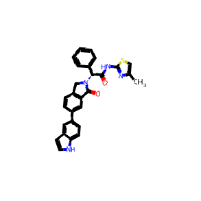 Cc1csc(NC(=O)[C@@H](c2ccccc2)N2Cc3ccc(-c4ccc5[nH]ccc5c4)cc3C2=O)n1